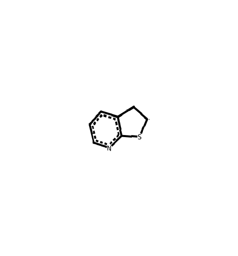 [CH]1Cc2cccnc2S1